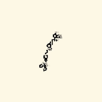 O=C(OC1CC2(CCN(CCCn3nnc4cc(CNCC(O)c5ccc(O)c6[nH]c(=O)sc56)ccc43)CC2)C1)C(O)(c1cccs1)c1cccs1